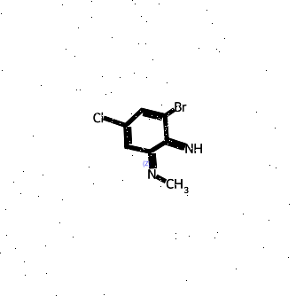 C/N=C1/C=C(Cl)C=C(Br)C1=N